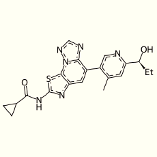 CC[C@H](O)c1cc(C)c(-c2cc3nc(NC(=O)C4CC4)sc3n3ncnc23)cn1